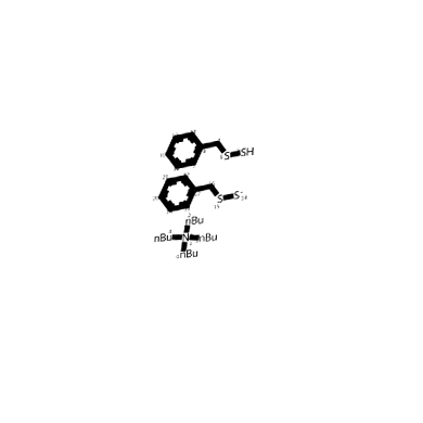 CCCC[N+](CCCC)(CCCC)CCCC.SS[CH]c1ccccc1.[S-]S[CH]c1ccccc1